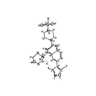 Cc1noc(C)c1-c1ccc2nc(N3CCN(S(C)(=O)=O)CC3)nc(N3CCOC[C@H]3C)c2c1